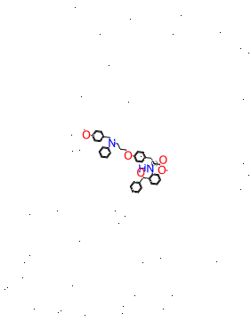 COC(=O)[C@H](Cc1ccc(OCCCN(Cc2ccc(OC)cc2)c2ccccc2)cc1)Nc1ccccc1C(=O)c1ccccc1